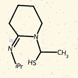 CC(C)/N=C1/CCCCN1C(C)S